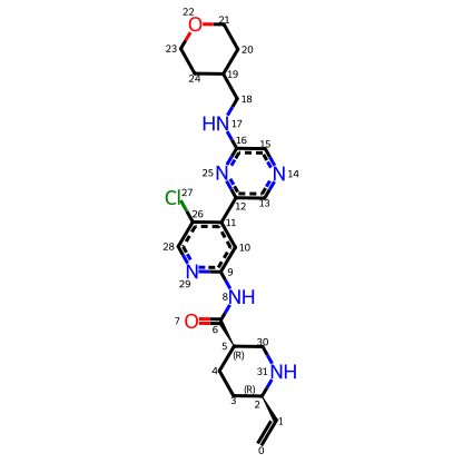 C=C[C@H]1CC[C@@H](C(=O)Nc2cc(-c3cncc(NCC4CCOCC4)n3)c(Cl)cn2)CN1